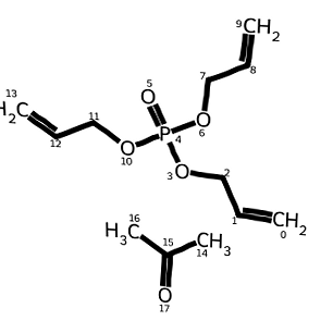 C=CCOP(=O)(OCC=C)OCC=C.CC(C)=O